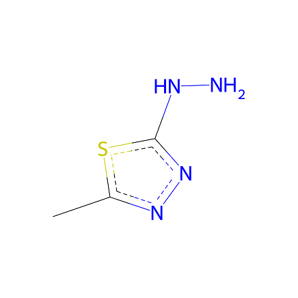 Cc1nnc(NN)s1